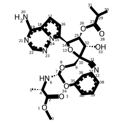 COC(=O)[C@H](C)N[C@H](OC[C@@]1(C#N)O[C@@H](c2ccc3c(N)ncnn23)[C@H](OC(=O)C(C)C)[C@@H]1O)Oc1ccccc1